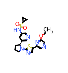 CCOc1cncc(-c2cnc(N3CCC[C@H]3c3cncc(NS(=O)(=O)C4CC4)c3)s2)n1